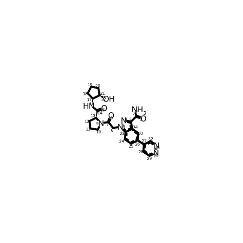 NC(=O)c1nn(CC(=O)N2CCC[C@H]2C(=O)N[C@@H]2CCC[C@H]2O)c2ccc(-c3ccnnc3)cc12